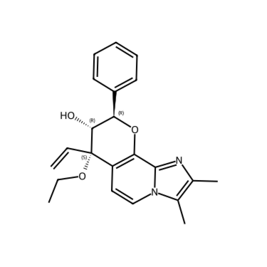 C=C[C@]1(OCC)c2ccn3c(C)c(C)nc3c2O[C@H](c2ccccc2)[C@H]1O